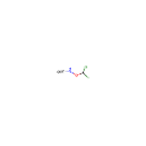 O=[C]NOC(F)Cl